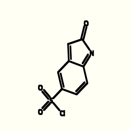 O=C1C=c2cc(S(=O)(=O)Cl)ccc2=N1